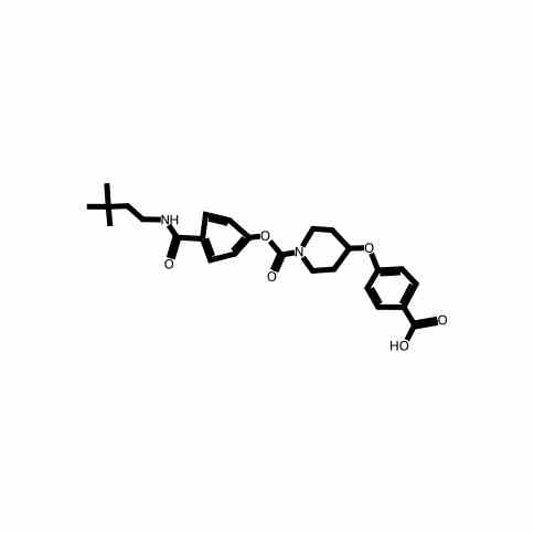 CC(C)(C)CCNC(=O)c1ccc(OC(=O)N2CCC(Oc3ccc(C(=O)O)cc3)CC2)cc1